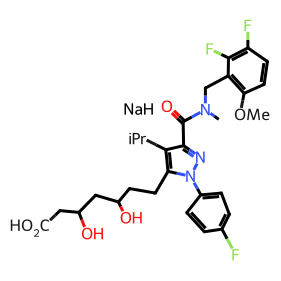 COc1ccc(F)c(F)c1CN(C)C(=O)c1nn(-c2ccc(F)cc2)c(CCC(O)CC(O)CC(=O)O)c1C(C)C.[NaH]